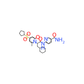 Cc1cc(S(=O)(=O)C2CCCC2)cc(=O)n1C(CC1CCCCC1)C(=O)Nc1ccc(C(N)=O)cn1